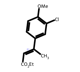 CCOC(=O)/C=C(\C)c1ccc(OC)c(Cl)c1